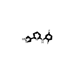 Fc1ccc(F)c(Nc2cccc(-c3cn[nH]c3)n2)c1